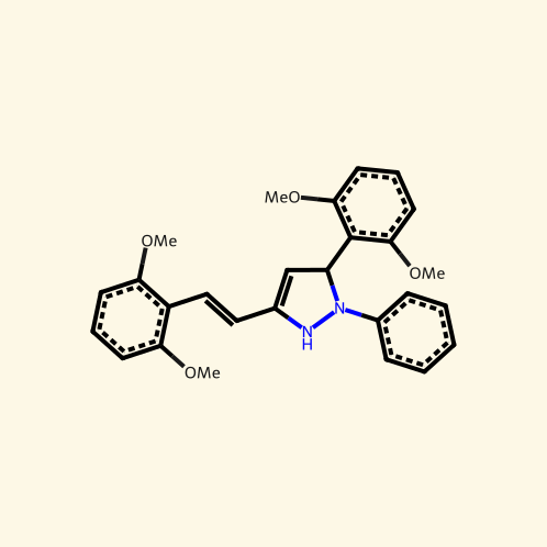 COc1cccc(OC)c1C=CC1=CC(c2c(OC)cccc2OC)N(c2ccccc2)N1